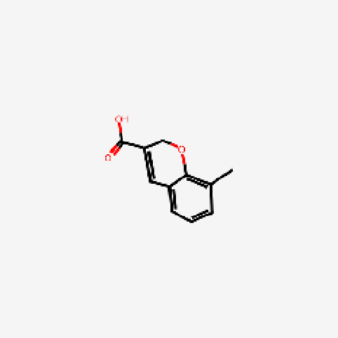 Cc1cccc2c1OCC(C(=O)O)=C2